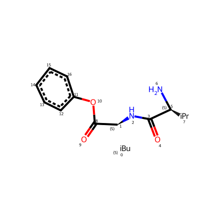 CC[C@H](C)[C@H](NC(=O)[C@@H](N)C(C)C)C(=O)Oc1ccccc1